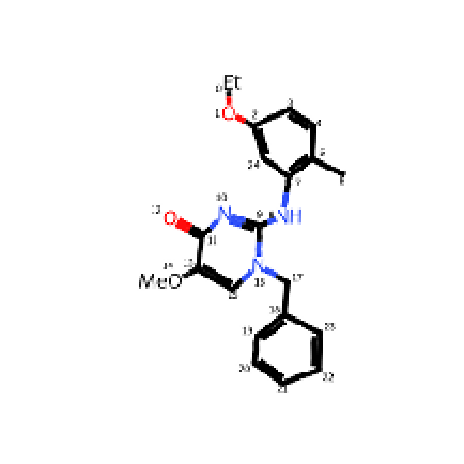 CCOc1ccc(C)c(Nc2nc(=O)c(OC)cn2Cc2ccccc2)c1